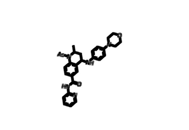 CC(=O)N1c2ccc(C(=O)Nc3ccccn3)cc2C(Nc2ccc(N3CCOCC3)cc2)CC1C